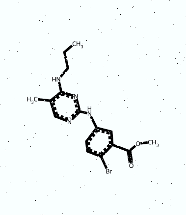 CCCNc1nc(Nc2ccc(Br)c(C(=O)OC)c2)ncc1C